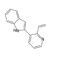 C=Cc1ncccc1-c1cc2ccccc2[nH]1